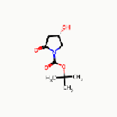 CC(C)(C)OC(=O)N1C[C@@H](O)CC1=O